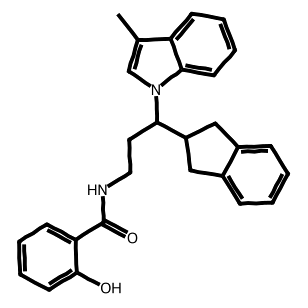 Cc1cn(C(CCNC(=O)c2ccccc2O)C2Cc3ccccc3C2)c2ccccc12